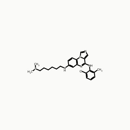 Cc1cccc(Cl)c1Nc1nc2cc(NCCCCCCN(C)C)ccc2n2cncc12